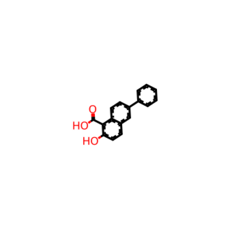 O=C(O)c1c(O)ccc2cc(-c3ccccc3)ccc12